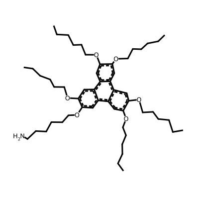 CCCCCCOc1cc2c3cc(OCCCCCC)c(OCCCCCC)cc3c3cc(OCCCCCCN)c(OCCCCCC)cc3c2cc1OCCCCCC